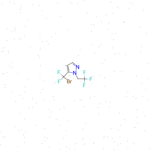 FC(F)(F)Cn1nc[c]c1C(F)(F)Br